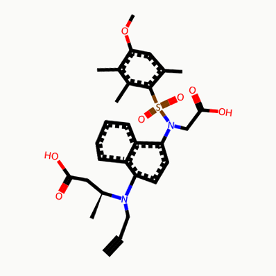 C#CCN(c1ccc(N(CC(=O)O)S(=O)(=O)c2c(C)cc(OC)c(C)c2C)c2ccccc12)[C@@H](C)CC(=O)O